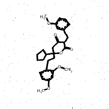 COc1cccc(CC2C(=O)CC(CCc3ccc(OC)cc3OC)(C3CCCC3)OC2=O)c1